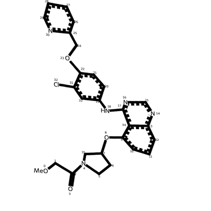 COCC(=O)N1CCC(Oc2cccc3ncnc(Nc4ccc(OCc5ccccn5)c(Cl)c4)c23)C1